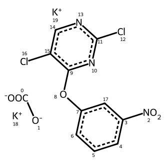 O=C([O-])[O-].O=[N+]([O-])c1cccc(Oc2nc(Cl)ncc2Cl)c1.[K+].[K+]